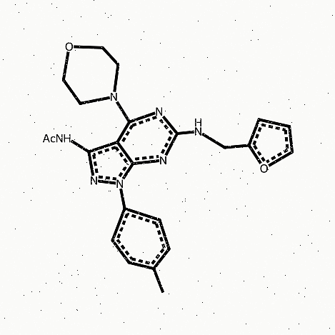 CC(=O)Nc1nn(-c2ccc(C)cc2)c2nc(NCc3ccco3)nc(N3CCOCC3)c12